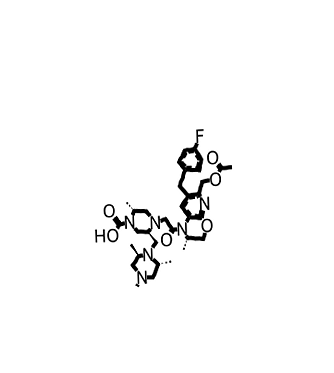 CC(=O)OCc1nc2c(cc1Cc1ccc(F)cc1)N(C(=O)CN1C[C@@H](C)N(C(=O)O)C[C@@H]1CN1[C@H](C)CN(C)C[C@H]1C)[C@@H](C)CO2